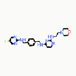 Fc1cnc(NCc2ccc(CNc3ccnc(NCCN4CCOCC4)n3)cc2)nc1